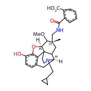 COC1[C@@H]2Oc3c(O)ccc4c3C23CCN(CC2CC2)[C@H](C4)C3C[C@@]1(C)CNC(=O)c1ccccc1C(=O)O